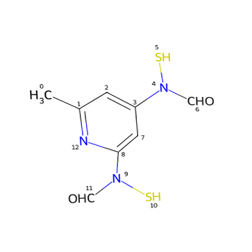 Cc1cc(N(S)C=O)cc(N(S)C=O)n1